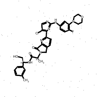 Cc1cccc([C@@H](CO)NC(=O)[C@@H](C)N2Cc3ccc(-c4nc(Nc5ccc(F)c(N6CCOCC6)c5)ncc4Cl)nc3C2=O)c1